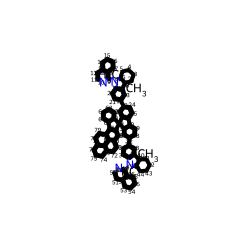 CC12CCCCC1(C)N(c1nccc3ccccc13)c1ccc(-c3ccc4c(c3)C3(c5cc(-c6ccc7c(c6)C6(C)CCCCC6(C)N7c6nccc7ccccc67)ccc5-4)c4ccccc4-c4c3cc3ccc5cccc6ccc4c3c56)cc12